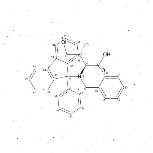 C[C@@H](CO)[C@@H](C(=O)O)N(Cc1ccccc1)C1(c2ccccc2)C2=C(C=CCC2)c2ccccc21